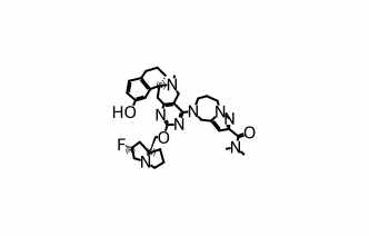 CN(C)C(=O)c1cc2n(n1)CCCN(c1nc(OC[C@@]34CCCN3C[C@H](F)C4)nc3c1CN(C)[C@@]1(CCCc4ccc(O)cc41)C3)C2